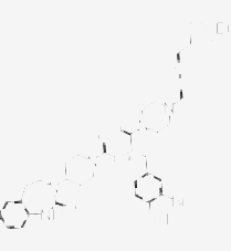 CCOC(=O)CC=C=C=CN1CCN(C(=O)[C@@H](Cc2ccc(O)c(Br)c2)OC(=O)N2CCC(N3CCc4ccccc4NC3=O)CC2)CC1